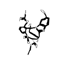 CCOC(=O)[C@H]1[C@H]2C[C@H](c3c(OC(F)F)cccc3S1(=O)=O)n1c2nc2ccc(Cl)cc21